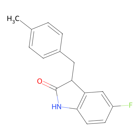 Cc1ccc(CC2C(=O)Nc3ccc(F)cc32)cc1